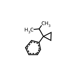 C[C](C)C1(c2ccccc2)CC1